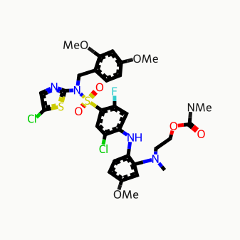 CNC(=O)OCCN(C)c1cc(OC)ccc1Nc1cc(F)c(S(=O)(=O)N(Cc2ccc(OC)cc2OC)c2ncc(Cl)s2)cc1Cl